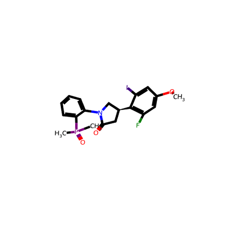 COc1cc(F)c([C@H]2CC(=O)N(c3ccccc3P(C)(C)=O)C2)c(I)c1